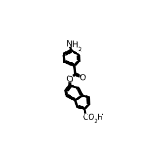 Nc1ccc(C(=O)Oc2ccc3cc(C(=O)O)ccc3c2)cc1